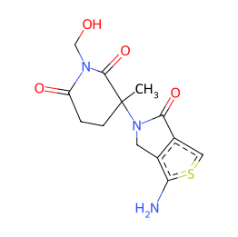 CC1(N2Cc3c(csc3N)C2=O)CCC(=O)N(CO)C1=O